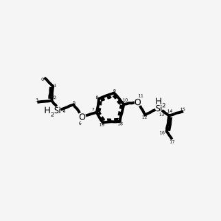 CC=C(C)[SiH2]COc1ccc(OC[SiH2]C(C)=CC)cc1